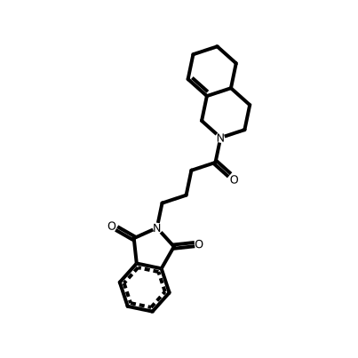 O=C(CCCN1C(=O)c2ccccc2C1=O)N1CCC2CCCC=C2C1